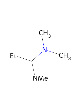 CCC(NC)N(C)C